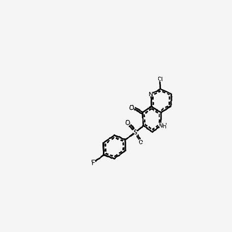 O=c1c(S(=O)(=O)c2ccc(F)cc2)c[nH]c2ccc(Cl)nc12